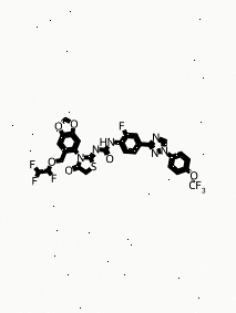 O=C(N=C1SCC(=O)N1c1cc2c(cc1COC(F)C(F)F)OCO2)Nc1ccc(-c2ncn(-c3ccc(OC(F)(F)F)cc3)n2)cc1F